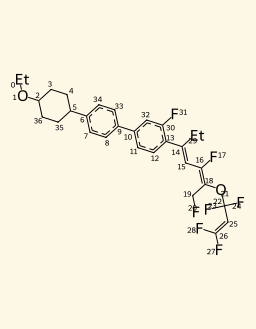 CCOC1CCC(c2ccc(-c3ccc(/C(=C/C(F)=C(\CF)OC(F)(F)C=C(F)F)CC)c(F)c3)cc2)CC1